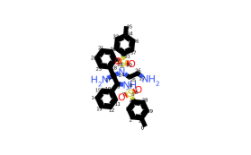 Cc1ccc(S(=O)(=O)NC(c2ccccc2)C(N)(c2ccccc2)N(CCN)S(=O)(=O)c2ccc(C)cc2)cc1